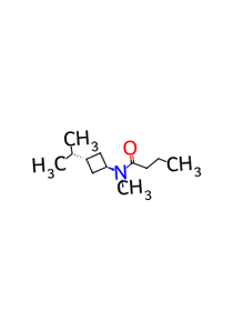 CCCC(=O)N(C)[C@H]1C[C@H](C(C)C)C1